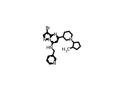 CC1CCCC1N1CCCC(c2cc(NCc3cccnc3)n3ncc(Br)c3n2)C1